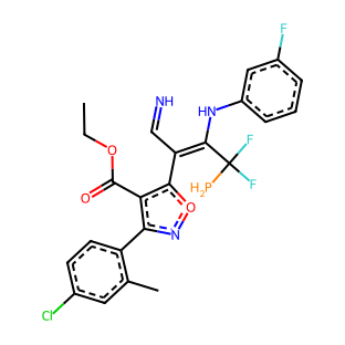 CCOC(=O)c1c(-c2ccc(Cl)cc2C)noc1/C(C=N)=C(/Nc1cccc(F)c1)C(F)(F)P